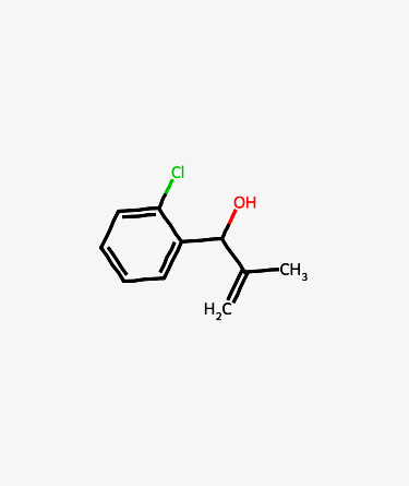 C=C(C)C(O)c1ccccc1Cl